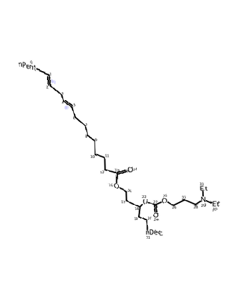 CCCCC/C=C/C/C=C/CCCCCCCC(=O)OCCC(CCCCCCCCCCCC)OC(=O)OCCCN(CC)CC